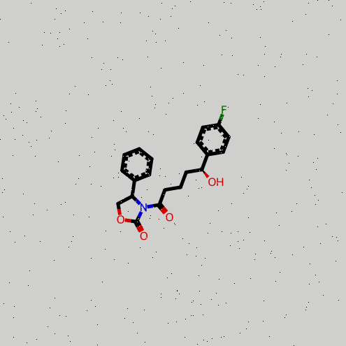 O=C(CCC[C@H](O)c1ccc(F)cc1)N1C(=O)OCC1c1ccccc1